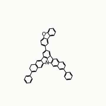 C1=C(c2ccccc2)CCc2cc3c4cc(-c5ccc6oc7ccccc7c6c5)cc5c6cc7ccc(-c8ccccc8)cc7cc6n(c3cc21)c45